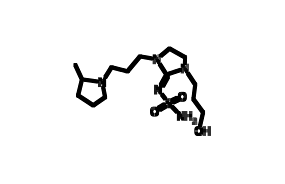 CC1CCCN1CCCN1CCN(CCCO)C1=NS(N)(=O)=O